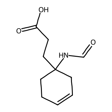 O=CNC1(CCC(=O)O)CC=CCC1